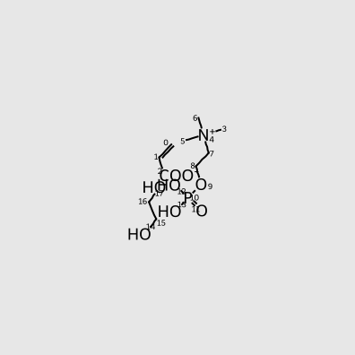 C=CC(=O)[O-].C[N+](C)(C)CCOP(=O)(O)O.OCCO